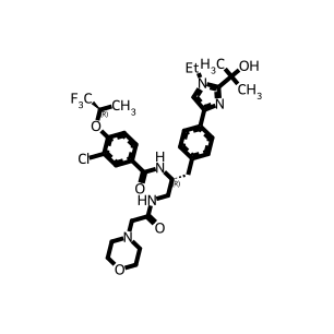 CCn1cc(-c2ccc(C[C@H](CNC(=O)CN3CCOCC3)NC(=O)c3ccc(O[C@H](C)C(F)(F)F)c(Cl)c3)cc2)nc1C(C)(C)O